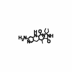 CCC1(CC)NC(=O)c2c(C)c3c(c(=O)n21)Nc1cc(N)ncc1C3